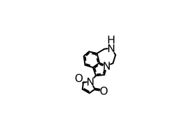 O=C1C=CC(=O)N1c1cn2c3c(cccc13)CNCC2